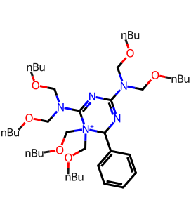 CCCCOCN(COCCCC)C1=NC(c2ccccc2)[N+](COCCCC)(COCCCC)C(N(COCCCC)COCCCC)=N1